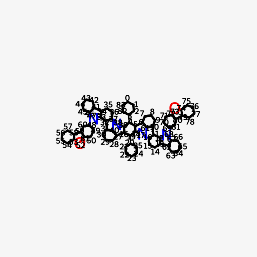 c1ccc(-c2c3c4cccc5c6c7c(ccc6n(c3c(-c3ccccc3)c3c6cccc8c9c%10c(ccc9n(c23)c68)c2ccccc2n%10-c2ccc3oc6ccccc6c3c2)c45)c2ccccc2n7-c2ccc3oc4ccccc4c3c2)cc1